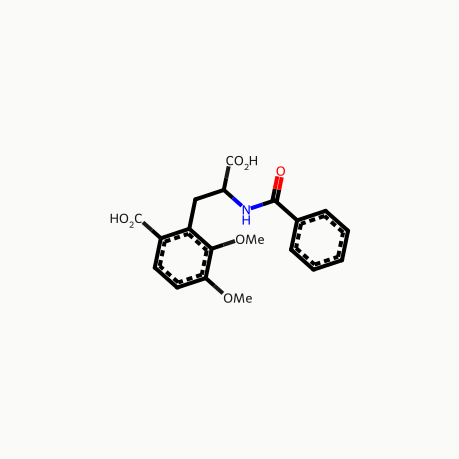 COc1ccc(C(=O)O)c(CC(NC(=O)c2ccccc2)C(=O)O)c1OC